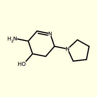 NC1C=NC(N2CCCC2)CC1O